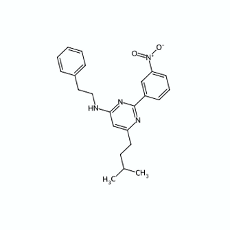 CC(C)CCc1cc(NCCc2ccccc2)nc(-c2cccc([N+](=O)[O-])c2)n1